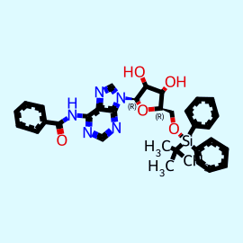 CC(C)(C)[Si](OC[C@H]1O[C@@H](n2cnc3c(NC(=O)c4ccccc4)ncnc32)C(O)C1O)(c1ccccc1)c1ccccc1